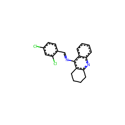 Clc1ccc(C=Nc2c3c(nc4ccccc24)CCCC3)c(Cl)c1